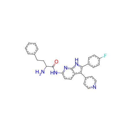 NC(CCc1ccccc1)C(=O)Nc1ccc2c(-c3ccncc3)c(-c3ccc(F)cc3)[nH]c2n1